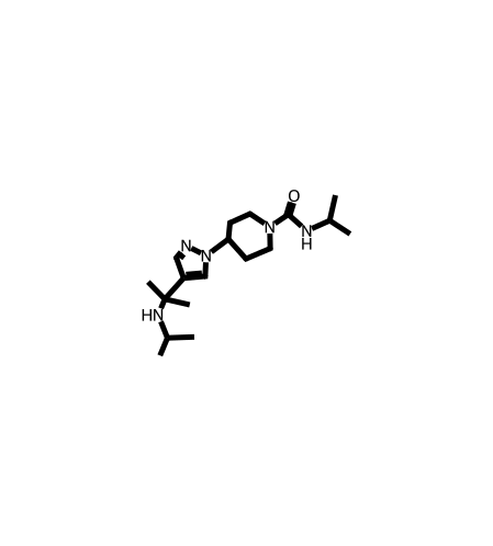 CC(C)NC(=O)N1CCC(n2cc(C(C)(C)NC(C)C)cn2)CC1